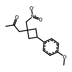 COc1ccc(C2CC(CC(C)=O)(C[N+](=O)[O-])C2)cc1